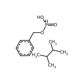 CC(C)C(C)C.O=[PH](O)OCc1ccccc1